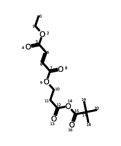 CCOC(=O)/C=C/C(=O)OCCC(=O)OC(=O)C(C)(C)C